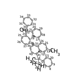 [2H]C([2H])([2H])C1(C)c2ccccc2-c2c(C)cc(-c3cccc(P(=O)(c4ccccc4)c4ccccc4)c3)c3cccc1c23